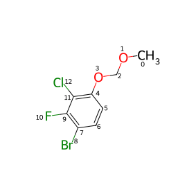 COCOc1ccc(Br)c(F)c1Cl